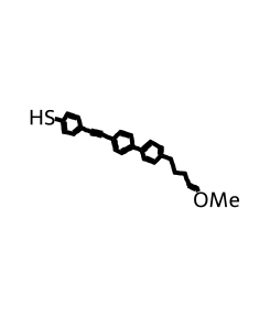 CO/C=C/CCCc1ccc(-c2ccc(C#Cc3ccc(S)cc3)cc2)cc1